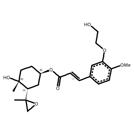 COc1ccc(/C=C/C(=O)O[C@@H]2CC[C@@](C)(O)[C@@H](C3(C)CO3)C2)cc1OCCO